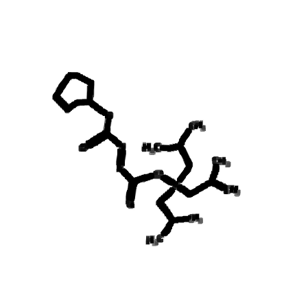 CC(C)C[Si](CC(C)C)(CC(C)C)OC(=O)/N=N/C(=O)OC1CCCC1